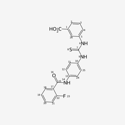 O=C(O)c1cccc(NC(=S)Nc2ccc(NC(=O)c3ccccc3F)cc2)c1